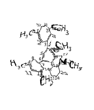 CC1=CC(c2cc(-c3cc(C)cc(C)c3)cc(CN(C)C3CCCCC3)c2C)=CC(C)C=C1